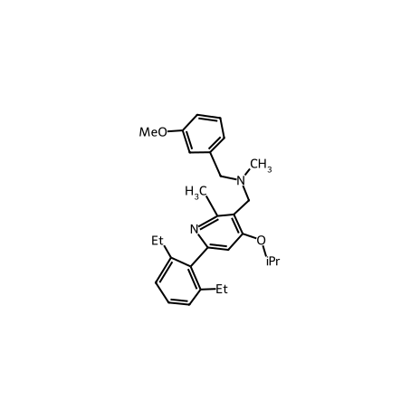 CCc1cccc(CC)c1-c1cc(OC(C)C)c(CN(C)Cc2cccc(OC)c2)c(C)n1